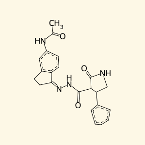 CC(=O)Nc1ccc2c(c1)CC/C2=N/NC(=O)C1C(=O)NCC1c1ccccc1